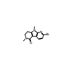 CN1CCc2c(c3ccc(Br)nc3n2C)C1=O